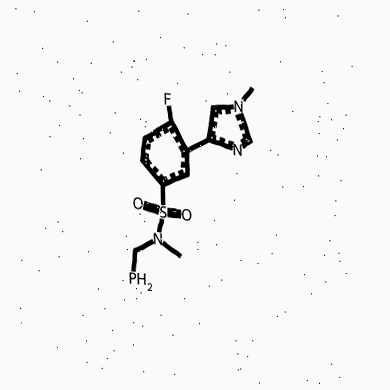 CN(CP)S(=O)(=O)c1ccc(F)c(-c2cn(C)cn2)c1